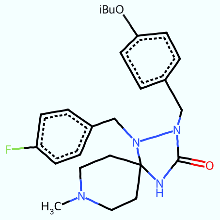 CC(C)COc1ccc(CN2C(=O)NC3(CCN(C)CC3)N2Cc2ccc(F)cc2)cc1